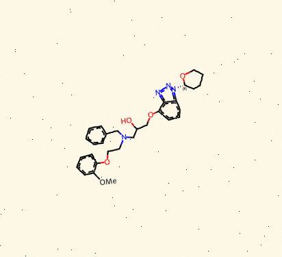 COc1ccccc1OCCN(Cc1ccccc1)CC(O)COc1cccc2c1nnn2[C@H]1CCCCO1